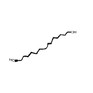 C#CCCCCCCCCCCCCCCO